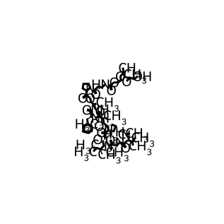 CC[C@H](C)C([C@@H](CC(=O)N1CCC[C@H]1[C@H](OC)[C@@H](C)C(=O)N[C@@H](Cc1ccccc1)C(=O)NC(C)COC(=O)C1CCCN1C(=O)CCNC(=O)OCC(OCCO)OC(C)C)OC)N(C)C(=O)CNC(=O)C(C(C)C)N(C)C